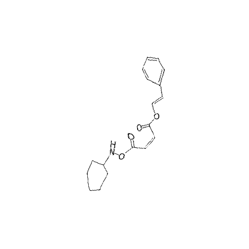 O=C(/C=C\C(=O)ONC1CCCCC1)OC=Cc1ccccc1